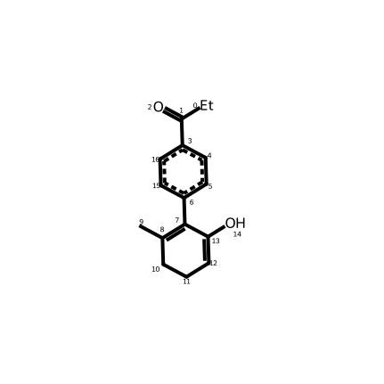 CCC(=O)c1ccc(C2=C(C)CCC=C2O)cc1